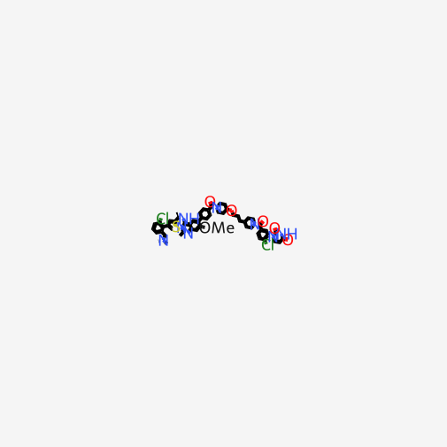 COc1cc2nc(C)nc(N[C@H](C)c3cc(-c4c(Cl)cccc4CN(C)C)cs3)c2cc1C1CCC(C(=O)N2CCC(OCCCC3CCN(C(=O)c4ccc(Cl)c(-n5ccc(=O)[nH]c5=O)c4)CC3)CC2)CC1